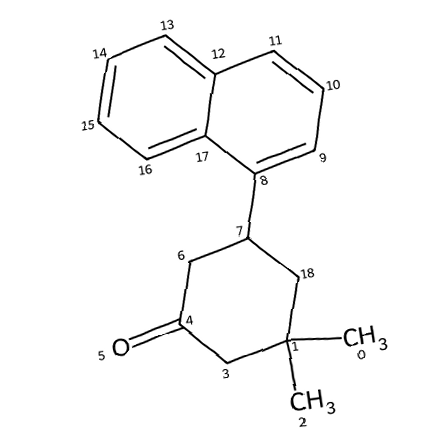 CC1(C)CC(=O)CC(c2cccc3ccccc23)C1